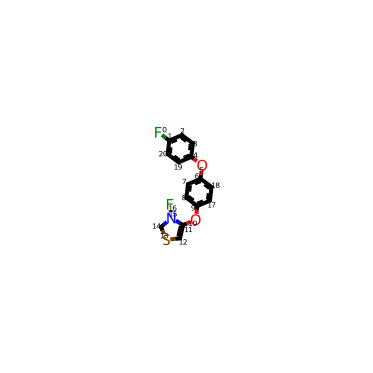 Fc1ccc(Oc2ccc(OC3=CSCN3F)cc2)cc1